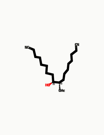 CC(=O)O[C@@H](CCCCCCCC#N)[C@H](O)CCCCCCCC#N